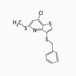 CSc1cc(Cl)c2scc(SCc3ccccc3)c2n1